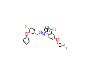 CCOc1ccc(C(C)=NOCc2ccc(F)c(Oc3ccccc3)c2)c(C(Cl)Cl)c1